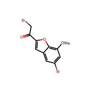 COc1cc(Br)cc2cc(C(=O)CBr)oc12